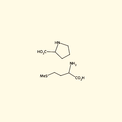 CSCCC(N)C(=O)O.O=C(O)C1CCCN1